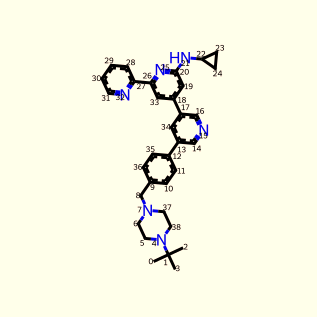 CC(C)(C)N1CCN(Cc2ccc(-c3cncc(-c4cc(NC5CC5)nc(-c5ccccn5)c4)c3)cc2)CC1